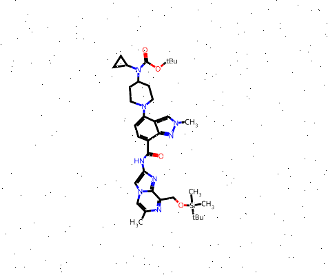 Cc1cn2cc(NC(=O)c3ccc(N4CCC(N(C(=O)OC(C)(C)C)C5CC5)CC4)c4cn(C)nc34)nc2c(CO[Si](C)(C)C(C)(C)C)n1